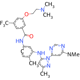 CNc1cc(-n2nc(C)cc2Nc2cc(NC(=O)c3cc(OCCN(C)C)cc(C(F)(F)F)c3)ccc2C)ncn1